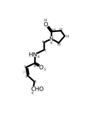 O=CC/C=C\C(=O)NCCN1CCCC1=O